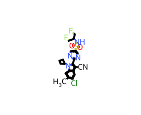 Cc1cc2c(cc1Cl)c(C#N)c(-c1ncc(S(=O)(=O)NC(CF)CF)cn1)n2C1CCC1